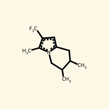 Cc1c(C(F)(F)F)cc2n1CC(C)C(C)C2